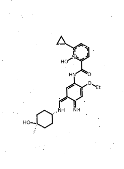 CCOC1=CC(=N)/C(=C\N[C@H]2CC[C@](C)(O)CC2)C=C1NC(=O)c1cccc(C2CC2)[n+]1O